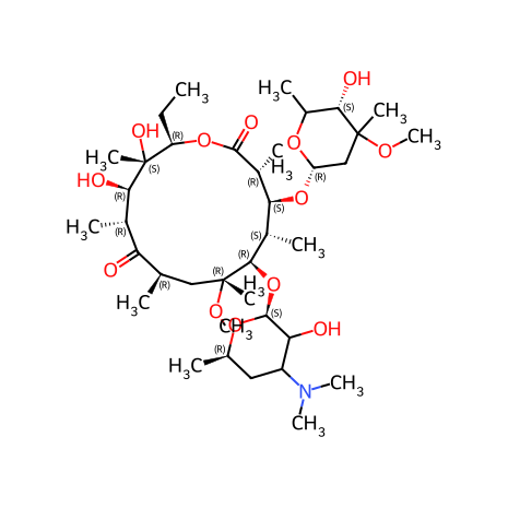 CC[C@H]1OC(=O)[C@H](C)[C@@H](O[C@H]2CC(C)(OC)[C@@H](O)C(C)O2)[C@H](C)[C@@H](O[C@@H]2O[C@H](C)CC(N(C)C)C2O)[C@](C)(OC)C[C@@H](C)C(=O)[C@H](C)[C@@H](O)[C@]1(C)O